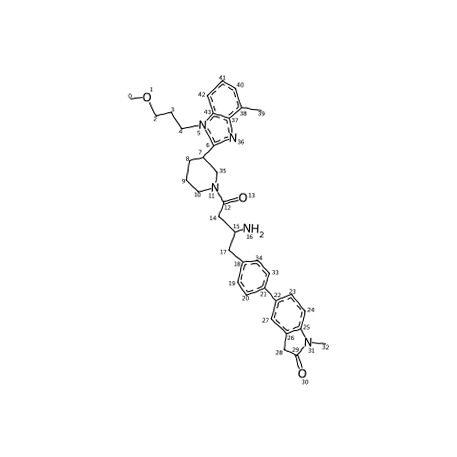 COCCCn1c(C2CCCN(C(=O)CC(N)Cc3ccc(-c4ccc5c(c4)CC(=O)N5C)cc3)C2)nc2c(C)cccc21